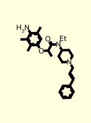 CCN(C(=O)C(C)Oc1cc(C)c(N)c(C)c1C)C1CCN(C/C=C/c2ccccc2)CC1